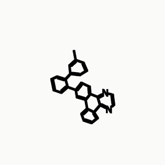 Cc1cccc(-c2ccccc2-c2ccc3c(c2)c2ccccc2c2nccnc32)c1